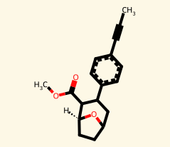 CC#Cc1ccc(C2CC3CC[C@H](O3)C2C(=O)OC)cc1